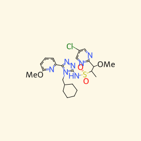 COc1cccc(-c2nnc(NS(=O)(=O)C(C)C(OC)c3ncc(Cl)cn3)n2CC2CCCCC2)n1